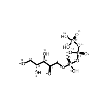 O=C(COP(=O)(O)OP(=O)(O)OP(=O)(O)O)[C@H](O)[C@H](O)CO